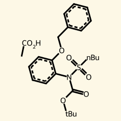 CC(=O)O.CCCCS(=O)(=O)N(C(=O)OC(C)(C)C)c1ccccc1OCc1ccccc1